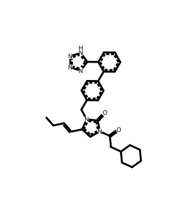 CCC=Cc1cn(C(=O)CC2CCCCC2)c(=O)n1Cc1ccc(-c2ccccc2-c2nnn[nH]2)cc1